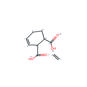 C=C.O=C(O)C1C=CCCC1C(=O)O